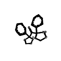 O=C(C1(c2ccccc2)NOCO1)C1(c2ccccc2)NOCO1